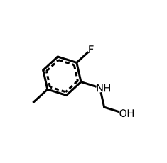 Cc1ccc(F)c(NCO)c1